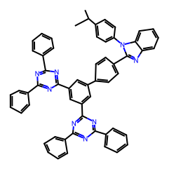 CC(C)c1ccc(-n2c(-c3ccc(-c4cc(-c5nc(-c6ccccc6)nc(-c6ccccc6)n5)cc(-c5nc(-c6ccccc6)nc(-c6ccccc6)n5)c4)cc3)nc3ccccc32)cc1